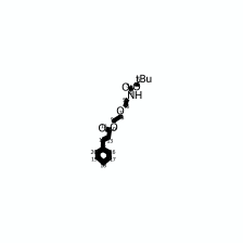 CC(C)(C)OC(=O)NCCOCCOC(=O)/C=C/c1ccccc1